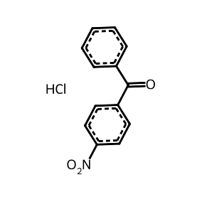 Cl.O=C(c1ccccc1)c1ccc([N+](=O)[O-])cc1